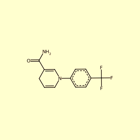 NC(=O)C1=CN(c2ccc(C(F)(F)F)cc2)C=CC1